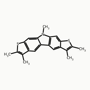 Cc1sc2cc3c(cc2c1C)c1cc2c(C)c(C)sc2cc1n3C